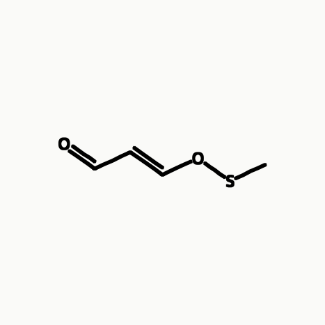 CSOC=CC=O